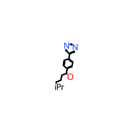 CC(C)CCCC(=O)c1ccc(-c2cncnc2)cc1